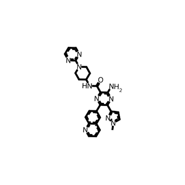 Cn1ccc(-c2nc(N)c(C(=O)NC3CCN(c4ncccn4)CC3)nc2-c2ccc3ncccc3c2)n1